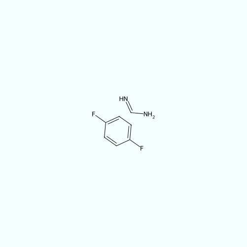 Fc1ccc(F)cc1.N=CN